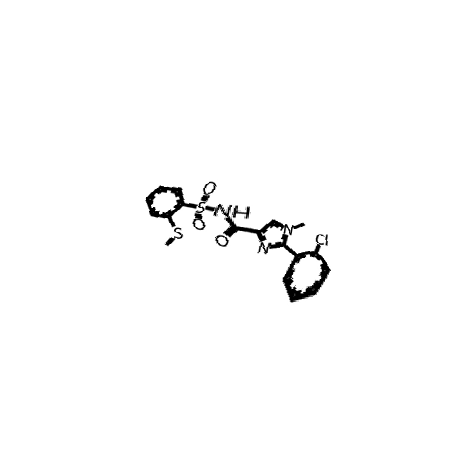 CSc1ccccc1S(=O)(=O)NC(=O)c1cn(C)c(-c2ccccc2Cl)n1